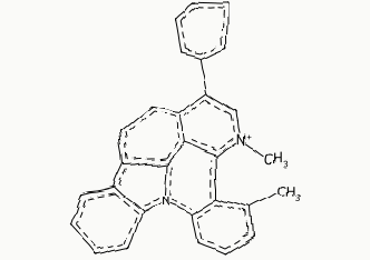 Cc1cccc2c1c1c3c(ccc4c5ccccc5n2c43)c(-c2ccccc2)c[n+]1C